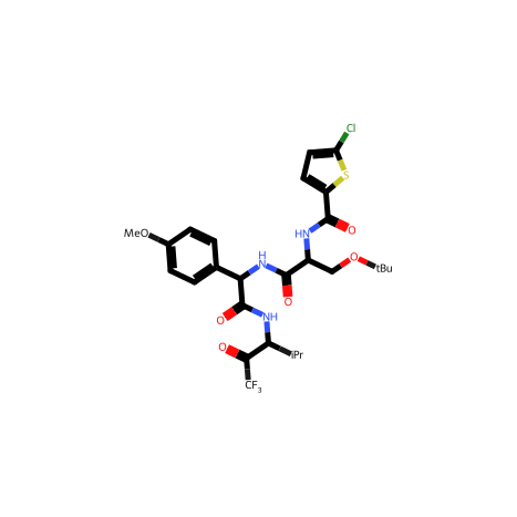 COc1ccc(C(NC(=O)C(COC(C)(C)C)NC(=O)c2ccc(Cl)s2)C(=O)NC(C(=O)C(F)(F)F)C(C)C)cc1